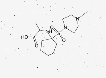 CC(NC1(S(=O)(=O)N2CCN(C)CC2)CCCCC1)C(=O)O